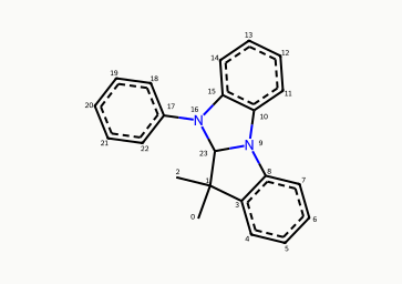 CC1(C)c2ccccc2N2c3ccccc3N(c3ccccc3)C21